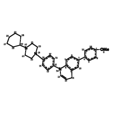 COc1ccc(-c2ccc3c(c2)CC=CN3c2ccc(N3CCN(C4CCCCC4)CC3)cc2)cc1